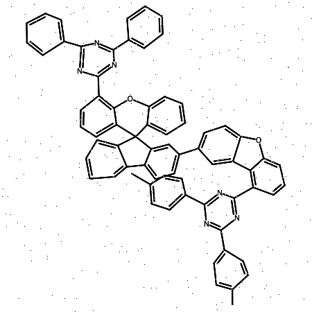 Cc1ccc(-c2nc(-c3ccc(C)cc3)nc(-c3cccc4oc5ccc(-c6ccc7c(c6)C6(c8ccccc8Oc8c(-c9nc(-c%10ccccc%10)nc(-c%10ccccc%10)n9)cccc86)c6ccccc6-7)cc5c34)n2)cc1